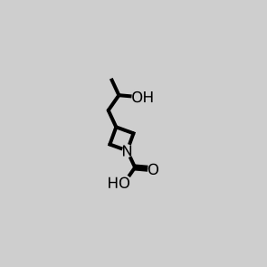 CC(O)CC1CN(C(=O)O)C1